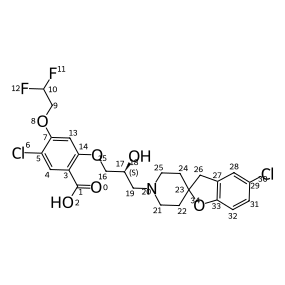 O=C(O)c1cc(Cl)c(OCC(F)F)cc1OC[C@@H](O)CN1CCC2(CC1)Cc1cc(Cl)ccc1O2